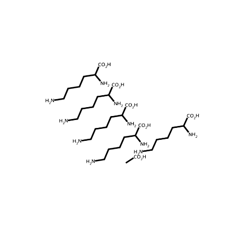 CC(=O)O.NCCCCC(N)C(=O)O.NCCCCC(N)C(=O)O.NCCCCC(N)C(=O)O.NCCCCC(N)C(=O)O.NCCCCC(N)C(=O)O